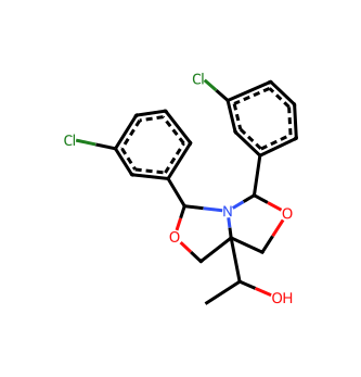 CC(O)C12COC(c3cccc(Cl)c3)N1C(c1cccc(Cl)c1)OC2